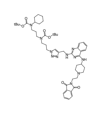 CC(C)(C)OC(=O)N(CCCN(C(=O)OC(C)(C)C)C1CCCCC1)CCCn1cc(CNc2nc(NC3CCN(CCN4C(=O)c5ccccc5C4=O)CC3)c3ccccc3n2)nn1